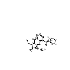 CCn1c(=O)[nH]c2cc3c(NC4CC5CCC4C5)ncnc3cc21.Cl